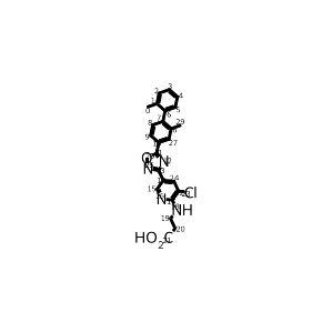 Cc1ccccc1-c1ccc(-c2nc(-c3cnc(NCCC(=O)O)c(Cl)c3)no2)cc1C